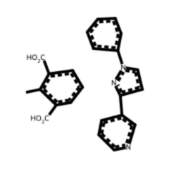 Cc1c(C(=O)O)cccc1C(=O)O.c1ccc(-n2ccc(-c3cccnc3)n2)cc1